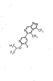 Cc1c(-c2cnc(OC(C)C(F)(F)F)c(F)c2)ncc2nnc(C(F)(F)F)n12